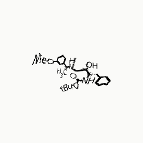 COc1cccc([C@@H](C)NC[C@@H](O)[C@H](Cc2ccccc2)NC(=O)OC(C)(C)C)c1